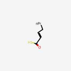 CCCCC=CC(=O)S